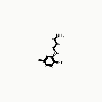 CCc1ccc(C)cc1OCCCN